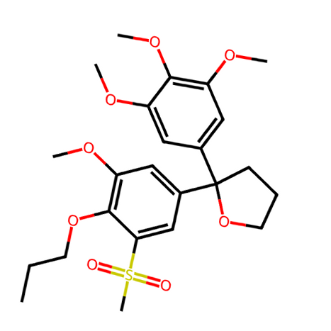 CCCOc1c(OC)cc(C2(c3cc(OC)c(OC)c(OC)c3)CCCO2)cc1S(C)(=O)=O